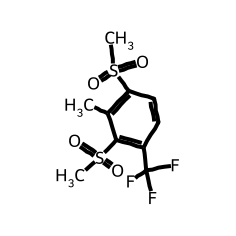 Cc1c(S(C)(=O)=O)ccc(C(F)(F)F)c1S(C)(=O)=O